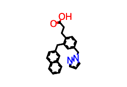 O=C(O)CCc1ccc(Cn2cccn2)cc1Cc1ccc2ccccc2c1